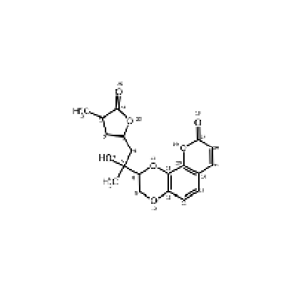 CC1CC(CC(C)(O)C2COc3ccc4ccc(=O)oc4c3O2)OC1=O